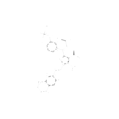 NC(=O)c1c(C(CC(=O)O)c2cccc(OC(F)(F)F)c2)nn(CCc2ccc3c(n2)NCCC3)c1CO